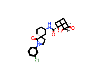 C[C@]12CC3C[C@]4(C(=O)N[C@@H]5CCC[C@@]6(CCN(c7cccc(Cl)c7)C6=O)C5)O[C@@H](C1=O)C324